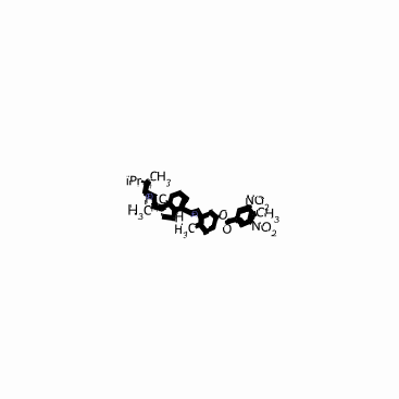 CC1=C(/C=C/C2=CCC[C@]3(C)[C@@H]([C@H](C)/C=C/[C@H](C)C(C)C)CC[C@@H]23)C[C@@H](OC(=O)c2cc([N+](=O)[O-])c(C)c([N+](=O)[O-])c2)CC1